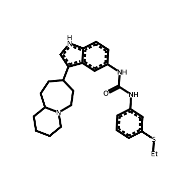 CCSc1cccc(NC(=O)Nc2ccc3[nH]cc(C4CCC5CCCCN5CC4)c3c2)c1